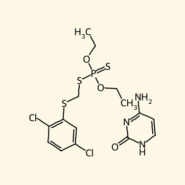 CCOP(=S)(OCC)SCSc1cc(Cl)ccc1Cl.Nc1cc[nH]c(=O)n1